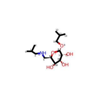 CC(C)CNC[C@H]1O[C@H](OCC(C)C)[C@H](O)[C@@H](O)[C@H]1O